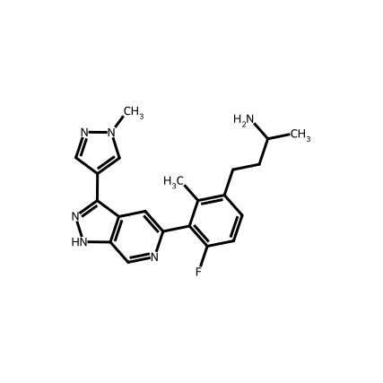 Cc1c(CCC(C)N)ccc(F)c1-c1cc2c(-c3cnn(C)c3)n[nH]c2cn1